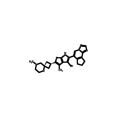 Cc1c2c(C(C)C)c(-c3cn4ncnc4c4c3CCC4)[nH]c2sc1[C@H]1C[C@]2(CN(C)CCO2)C1